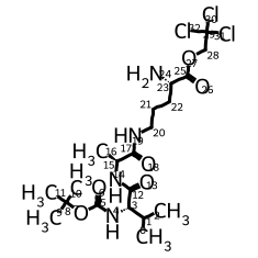 CC(C)[C@H](NC(=O)OC(C)(C)C)C(=O)N[C@@H](C)C(=O)NCCC[C@H](N)C(=O)OCC(Cl)(Cl)Cl